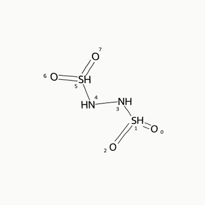 O=[SH](=O)NN[SH](=O)=O